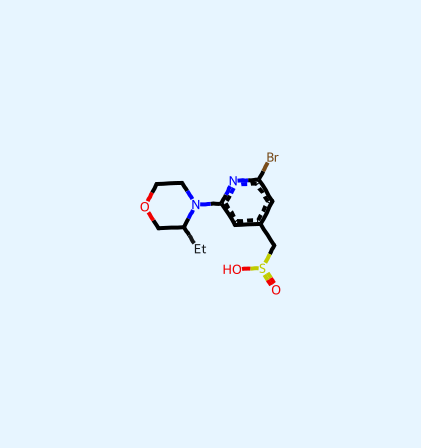 CCC1COCCN1c1cc(CS(=O)O)cc(Br)n1